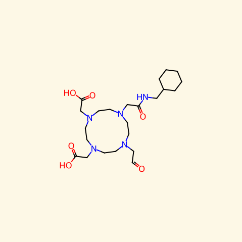 O=CCN1CCN(CC(=O)O)CCN(CC(=O)O)CCN(CC(=O)NCC2CCCCC2)CC1